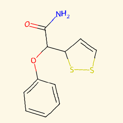 NC(=O)C(Oc1ccccc1)C1C=CSS1